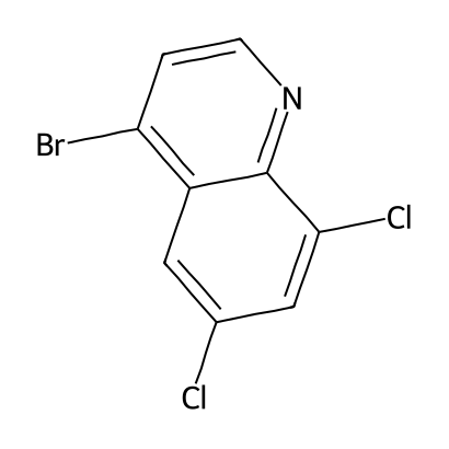 Clc1cc(Cl)c2nccc(Br)c2c1